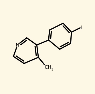 Cc1ccncc1-c1ccc(I)cc1